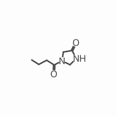 CCCC(=O)N1CNC(=O)C1